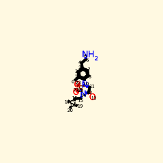 Cc1cc(CCN)ccc1N1CC(=O)N(CC[Si](C)(C)C)S1(=O)=O